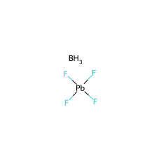 B.[F][Pb]([F])([F])[F]